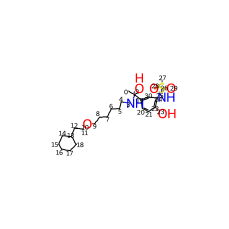 CC(O)(NCCCCCCOCCC1CCCCC1)c1ccc(O)c(NS(C)(=O)=O)c1